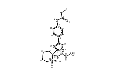 CCC(=O)Oc1ccc(-c2ccc([C@@]3(CC(=O)NO)CCCCS3(=O)=O)s2)cc1